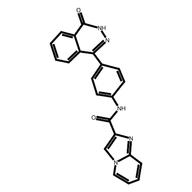 O=C(Nc1ccc(-c2n[nH]c(=O)c3ccccc23)cc1)c1cn2ccccc2n1